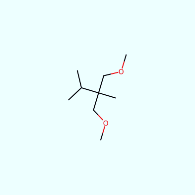 COCC(C)(COC)C(C)C